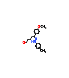 COc1ccc(C(CCCC=O)=NNc2ccc(C)cc2)cc1